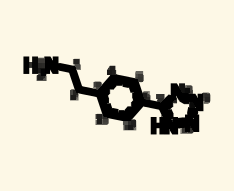 NCCc1ccc(-c2nnn[nH]2)cc1